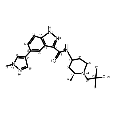 C[C@H]1CC(NC(=O)c2n[nH]c3ccc(-c4cnn(C)c4)cc23)CCN1CC(C)(C)F